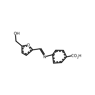 O=C(O)c1ccc(/N=C/c2ccc(CO)o2)cc1